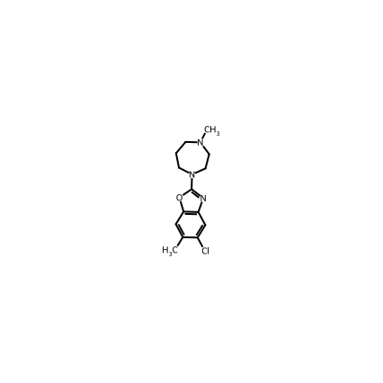 Cc1cc2oc(N3CCCN(C)CC3)nc2cc1Cl